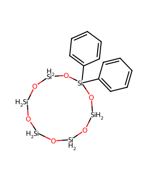 c1ccc([Si]2(c3ccccc3)O[SiH2]O[SiH2]O[SiH2]O[SiH2]O[SiH2]O2)cc1